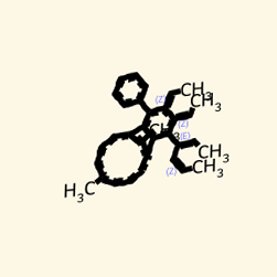 C/C=C\C(=C/C)c1c2c(c(-c3ccccc3)c(=C/C)/c1=C\C)-c1cccc(C)cccc-2c1C